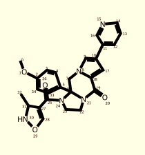 COc1ccc(C23Cn4cc(-c5cccnc5)cc4C(=O)N2CCN3C(=O)C2=CONC2C)cc1